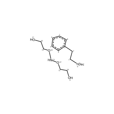 CCCCCCCCCCCCc1ccccc1.OCCONOCCO